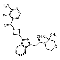 CC1(C)COCCN1C(=O)Cn1nc(C2CN(C(=O)c3ccnc(N)c3F)C2)c2ccccc21